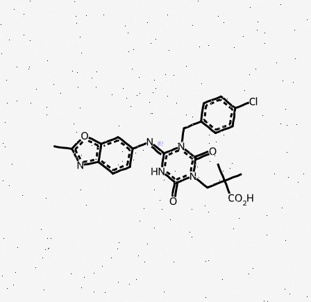 Cc1nc2ccc(/N=c3\[nH]c(=O)n(CC(C)(C)C(=O)O)c(=O)n3Cc3ccc(Cl)cc3)cc2o1